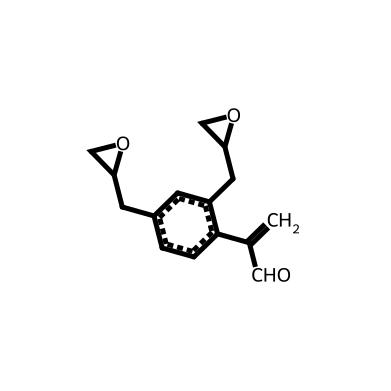 C=C(C=O)c1ccc(CC2CO2)cc1CC1CO1